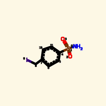 NS(=O)(=O)c1ccc(CI)cc1